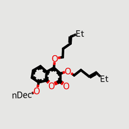 CCC=CCCOc1c(OCCC=CCC)c2cccc(OCCCCCCCCCC)c2oc1=O